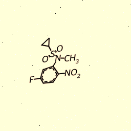 CN(c1cc(F)ccc1[N+](=O)[O-])S(=O)(=O)C1CC1